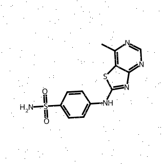 Cc1ncnc2nc(Nc3ccc(S(N)(=O)=O)cc3)sc12